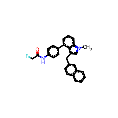 Cn1cc(Cc2ccc3ccccc3c2)c2c(-c3ccc(NC(=O)CF)cc3)cccc21